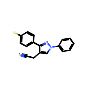 N#CCc1cn(-c2ccccc2)nc1-c1ccc(F)cc1